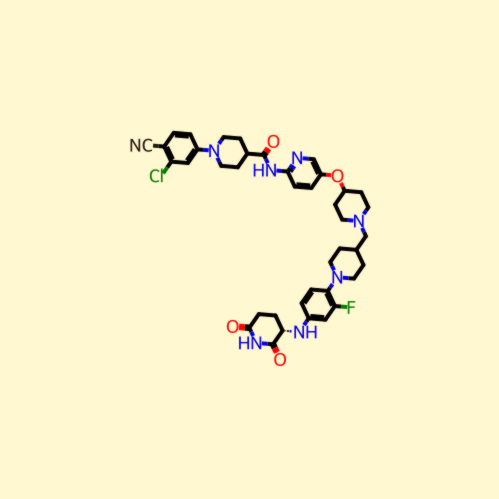 N#Cc1ccc(N2CCC(C(=O)Nc3ccc(OC4CCN(CC5CCN(c6ccc(N[C@H]7CCC(=O)NC7=O)cc6F)CC5)CC4)cn3)CC2)cc1Cl